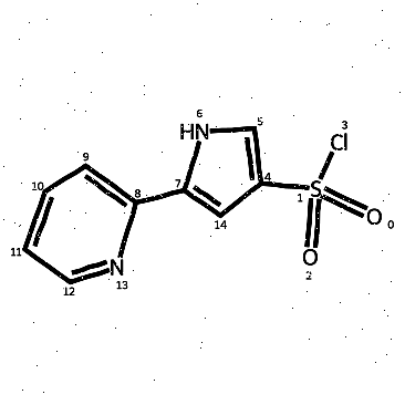 O=S(=O)(Cl)c1c[nH]c(-c2ccccn2)c1